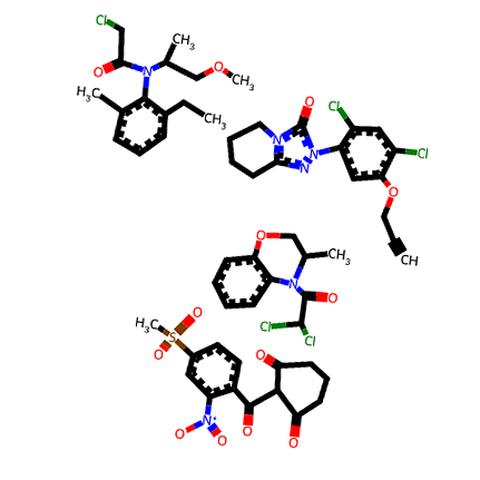 C#CCOc1cc(-n2nc3n(c2=O)CCCC3)c(Cl)cc1Cl.CC1COc2ccccc2N1C(=O)C(Cl)Cl.CCc1cccc(C)c1N(C(=O)CCl)C(C)COC.CS(=O)(=O)c1ccc(C(=O)C2C(=O)CCCC2=O)c([N+](=O)[O-])c1